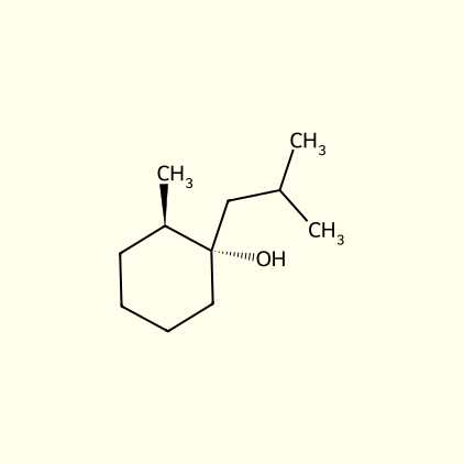 CC(C)C[C@@]1(O)CCCC[C@H]1C